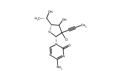 CC#CC1(Cl)C(O)[C@@H]([C@H](C)O)O[C@H]1n1cnc(N)nc1=O